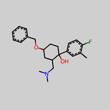 Cc1cc(C2(O)CCC(OCc3ccccc3)CC2CN(C)C)ccc1F